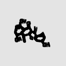 O=C1C(Cl)=C(Nc2ccc(O)cc2)C(=O)c2c(O)ccc(O)c21